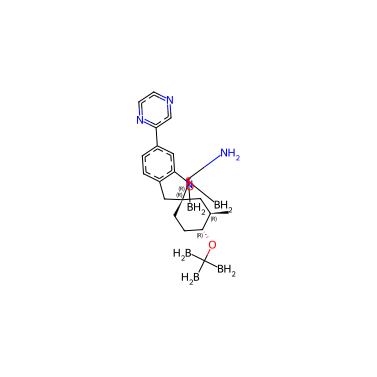 BC(B)(B)O[C@@H]1CC[C@]2(Cc3ccc(-c4cnccn4)cc3[C@]23N=C(N)OC3(B)B)C[C@H]1C